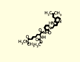 COC(=O)NC(CCC=CC(=O)N(C)C)C(=O)Nc1cccn(Cc2cc3nccc(C=C(C)C)c3[nH]2)c1=O